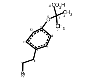 CC(C)(Oc1ccc(CCBr)cc1)C(=O)O